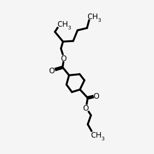 CCCCC(CC)COC(=O)C1CCC(C(=O)OCCC)CC1